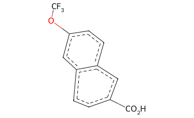 O=C(O)c1ccc2cc(OC(F)(F)F)ccc2c1